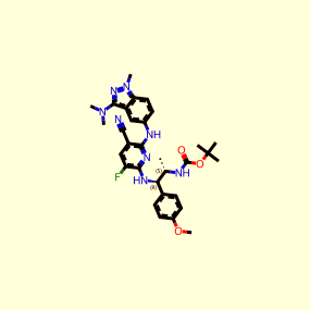 COc1ccc([C@@H](Nc2nc(Nc3ccc4c(c3)c(N(C)C)nn4C)c(C#N)cc2F)[C@H](C)NC(=O)OC(C)(C)C)cc1